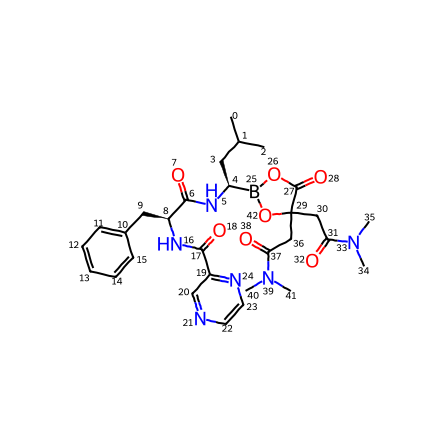 CC(C)C[C@H](NC(=O)[C@H](Cc1ccccc1)NC(=O)c1cnccn1)B1OC(=O)C(CC(=O)N(C)C)(CC(=O)N(C)C)O1